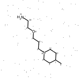 CC1CCN(CCCOCCN)CC1